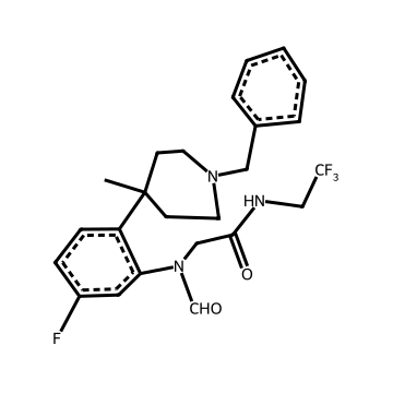 CC1(c2ccc(F)cc2N(C=O)CC(=O)NCC(F)(F)F)CCN(Cc2ccccc2)CC1